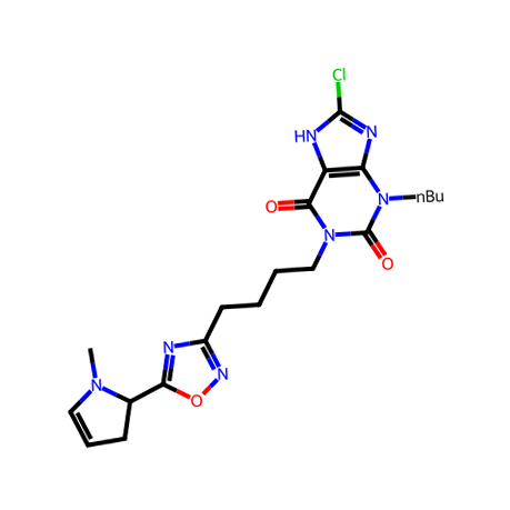 CCCCn1c(=O)n(CCCCc2noc(C3CC=CN3C)n2)c(=O)c2[nH]c(Cl)nc21